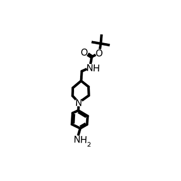 CC(C)(C)OC(=O)NCC1CCN(c2ccc(N)cc2)CC1